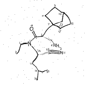 CCN(C(=O)[C@@H](N)C12CCC(CC1)C2)[C@H](C#N)CC(C)C